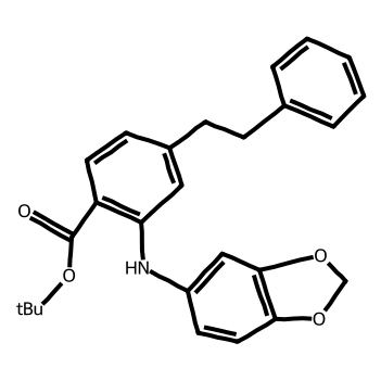 CC(C)(C)OC(=O)c1ccc(CCc2ccccc2)cc1Nc1ccc2c(c1)OCO2